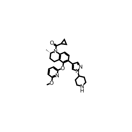 COc1cccc(Oc2c(-c3cnn(C4CCNCC4)c3)ccc3c2CC[C@H](C)N3C(=O)C2CC2)n1